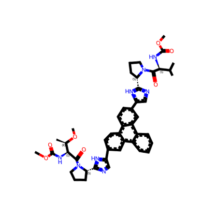 COC(=O)N[C@H](C(=O)N1CCC[C@H]1c1ncc(-c2ccc3c4ccc(-c5cnc([C@@H]6CCCN6C(=O)[C@@H](NC(=O)OC)[C@@H](C)OC)[nH]5)cc4c4ccccc4c3c2)[nH]1)C(C)C